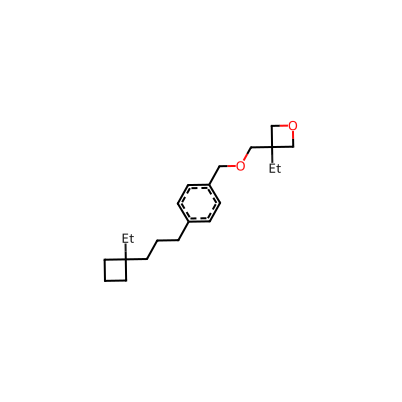 CCC1(CCCc2ccc(COCC3(CC)COC3)cc2)CCC1